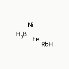 B.[Fe].[Ni].[RbH]